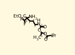 CCOC(=O)C(N)(CCCNC(=O)OC(C)OC(=O)C(C)C)C(F)F